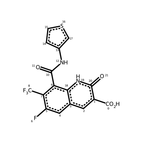 O=C(O)c1cc2cc(F)c(C(F)(F)F)c(C(=O)Nc3ccsc3)c2[nH]c1=O